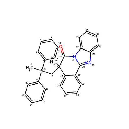 CC1(C[Si](C)(c2ccccc2)c2ccccc2)C(=O)n2c(nc3ccccc32)-c2ccccc21